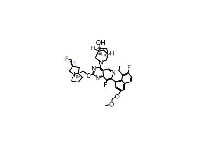 CCc1c(F)ccc2cc(OCOC)cc(-c3ncc4c(N5C[C@@H]6C[C@H](C5)[C@H](O)C6)nc(OC[C@@]56CCCN5C/C(=C\F)C6)nc4c3F)c12